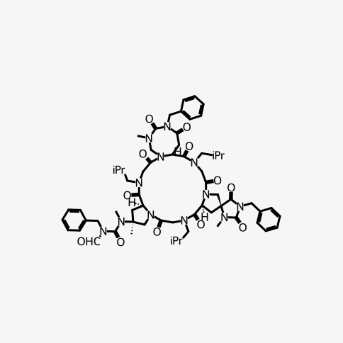 CC(C)CN1CC(=O)N2C[C@@]3(C[C@H]2C(=O)N(CC(C)C)CC(=O)N2C[C@@](C)(N(C)C(=O)N(C=O)Cc4ccccc4)C[C@H]2C(=O)N(CC(C)C)CC(=O)N2CN(C)C(=O)N(Cc4ccccc4)C(=O)C[C@H]2C1=O)C(=O)N(Cc1ccccc1)C(=O)N3C